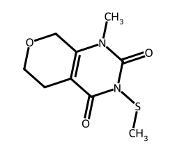 CSn1c(=O)c2c(n(C)c1=O)COCC2